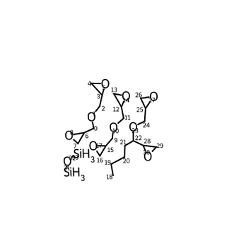 C(OCC1CO1)C1CO1.C(OCC1CO1)C1CO1.CCCCC(OCC1CO1)C1CO1.[SiH3]O[SiH3]